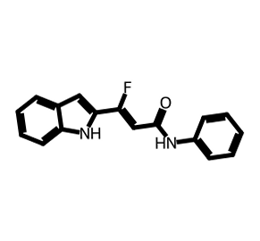 O=C(/C=C(\F)c1cc2ccccc2[nH]1)Nc1ccccc1